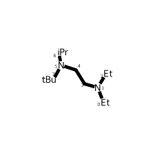 CCN(CC)CCN(C(C)C)C(C)(C)C